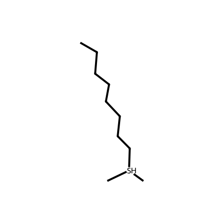 CCCCCCCC[SH](C)C